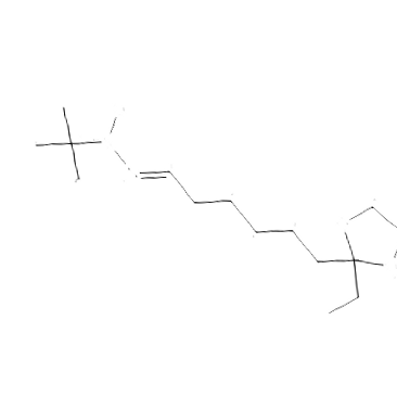 CCC1(CCCCC/C=N/[S+]([O-])C(C)(C)C)OCCO1